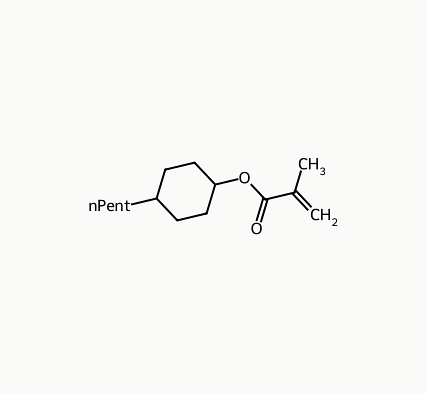 C=C(C)C(=O)OC1CCC(CCCCC)CC1